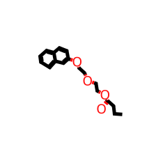 CCCC(=O)OCCOCCOc1ccc2ccccc2c1